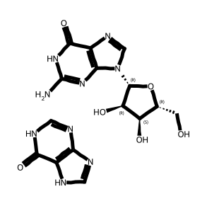 Nc1nc2c(ncn2[C@@H]2O[C@H](CO)[C@@H](O)[C@H]2O)c(=O)[nH]1.O=c1[nH]cnc2nc[nH]c12